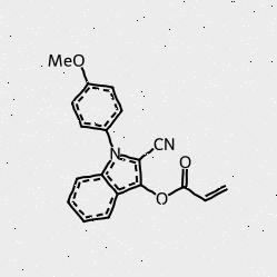 C=CC(=O)Oc1c(C#N)n(-c2ccc(OC)cc2)c2ccccc12